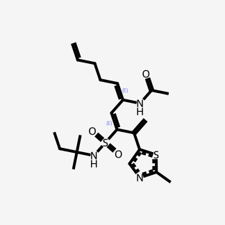 C=CCC/C=C(\C=C(/C(=C)c1cnc(C)s1)S(=O)(=O)NC(C)(C)CC)NC(C)=O